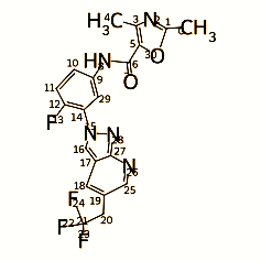 Cc1nc(C)c(C(=O)Nc2ccc(F)c(-n3cc4cc(CC(F)(F)F)cnc4n3)c2)o1